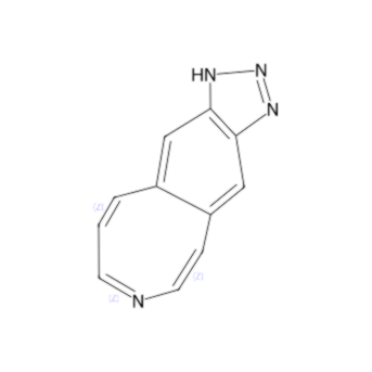 C1=C/c2cc3[nH]nnc3cc2\C=C/N=C\1